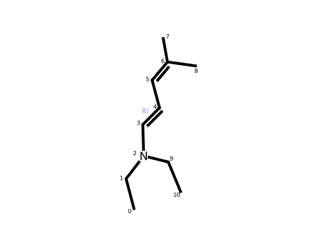 CCN(/C=C/C=C(C)C)CC